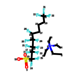 CC[N+](CC)(CC)CC.O=S(=O)([O-])C(F)(F)C(F)(F)C(F)(F)C(F)(F)C(F)CCCC(F)(F)F